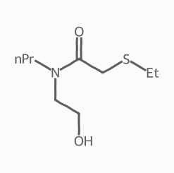 CCCN(CCO)C(=O)CSCC